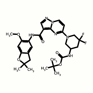 COc1cc2c(cc1NC(=O)c1cnn3ccc(N4CC(NC(=O)OC(C)(C)C)CC(F)(F)C4)nc13)CC(C)(C)O2